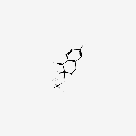 [2H]C(F)(F)SC1(C)CCc2cc(Br)ccc2C1=O